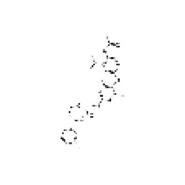 CC(=O)Oc1ccc(Oc2c(C)cc(OC[P@@]3(=O)OCC[C@@H](c4cccc(C)c4)O3)cc2C)cc1C(C)C